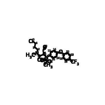 CN(CCCCl)[C@@H](O)C(=C=O)N(c1ccc(Oc2ccc(C(F)(F)F)cc2)cc1)S(C)(=O)=O